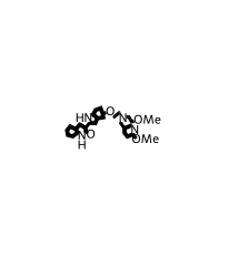 COCCN(CCOc1ccc2[nH]c(-c3cc4ccccc4[nH]c3=O)cc2c1)Cc1ccc(OC)nc1